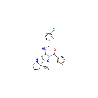 CC1(c2cc(NCc3ccc(Cl)s3)n(C(=O)c3ccsc3)n2)CCCN1